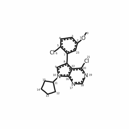 COc1ccc(Cl)c(-c2cn(C3CCCC3)c3ncnc(Cl)c23)c1